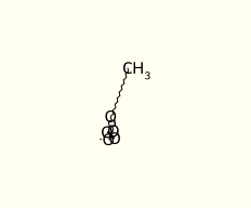 CCCCCCCCCCCCCCCCOc1ccc(OC(=O)C([O])=O)cc1